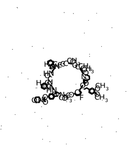 COc1ccc(CC[C@H]2OC(=O)[C@@H]3CCCCN3C(=O)C(=O)C(C)(C)COC(=O)C(C)CCCN(C)C(=O)[C@@H](Cc3ccccc3)NC(=O)CN(C)C(=O)[C@@H](Cc3ccccc3)NC(=O)[C@H](Cc3ccc(OC(=O)N4CCOCC4)cc3)N(C)C(=O)COc3cc(F)cc2c3)cc1OC